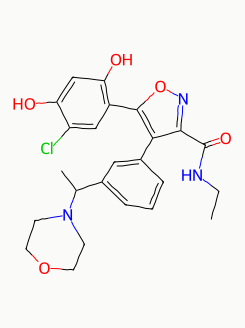 CCNC(=O)c1noc(-c2cc(Cl)c(O)cc2O)c1-c1cccc(C(C)N2CCOCC2)c1